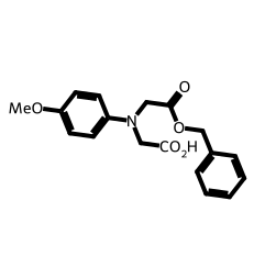 COc1ccc(N(CC(=O)O)CC(=O)OCc2ccccc2)cc1